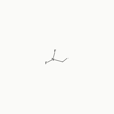 [CH2]CN(F)F